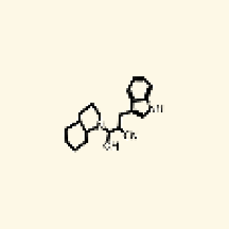 N#CC(Cc1c[nH]c2ccccc12)C(O)N1CCCC2CCCCC21